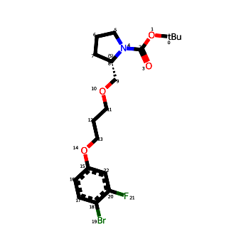 CC(C)(C)OC(=O)N1CCC[C@H]1COCCCOc1ccc(Br)c(F)c1